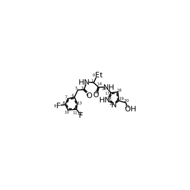 CCC(NC(=O)Cc1cc(F)cc(F)c1)C(=O)Nc1cc(CO)n[nH]1